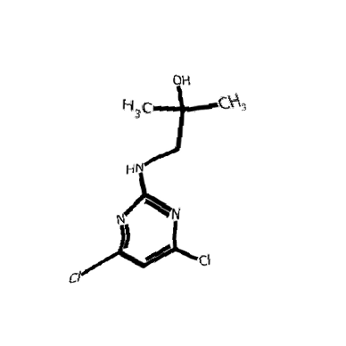 CC(C)(O)CNc1nc(Cl)cc(Cl)n1